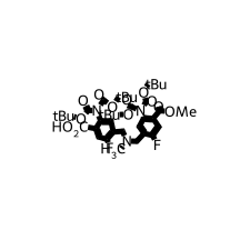 COC(=O)c1cc(F)c(CN(C)Cc2cc(N(C(=O)OC(C)(C)C)C(=O)OC(C)(C)C)c(C(=O)O)cc2F)cc1N(C(=O)OC(C)(C)C)C(=O)OC(C)(C)C